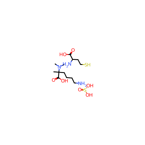 CN(C)C(C)(CCCCN)C(=O)O.NC(CCS)C(=O)O.O=S(O)O